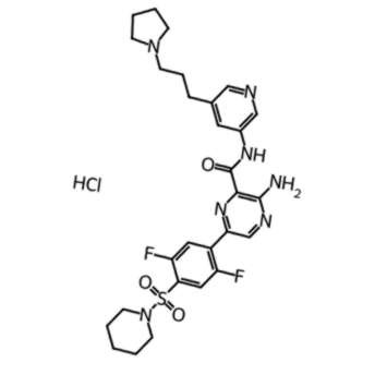 Cl.Nc1ncc(-c2cc(F)c(S(=O)(=O)N3CCCCC3)cc2F)nc1C(=O)Nc1cncc(CCCN2CCCC2)c1